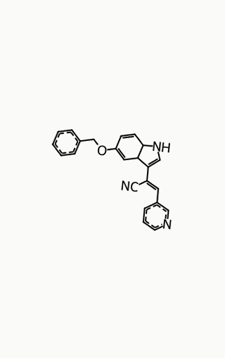 N#C/C(=C\c1cccnc1)C1=CNC2C=CC(OCc3ccccc3)=CC12